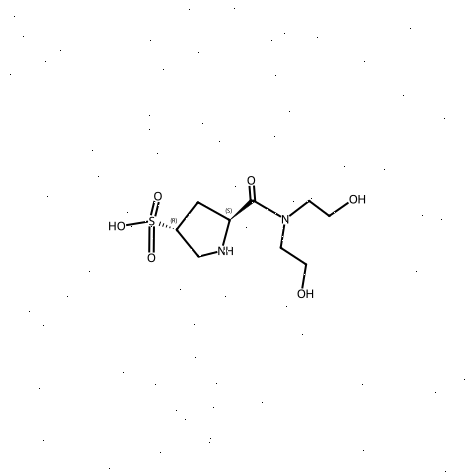 O=C([C@@H]1C[C@@H](S(=O)(=O)O)CN1)N(CCO)CCO